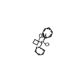 O=P(c1ccccc1)(c1ccccc1)C1(O)CCC1